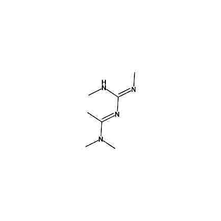 C/N=C(/N=C(\C)N(C)C)NC